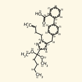 C=CCCn1nc(C(CCCC)(OC)OC)nc1Cc1ccc(-c2ccccc2C(=O)O)cc1